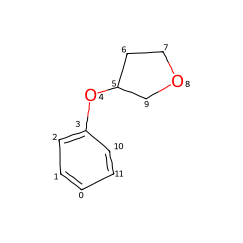 c1ccc(OC2CCOC2)cc1